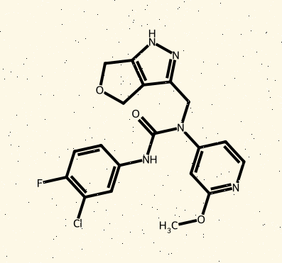 COc1cc(N(Cc2n[nH]c3c2COC3)C(=O)Nc2ccc(F)c(Cl)c2)ccn1